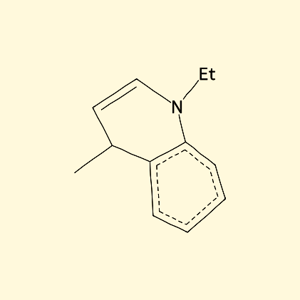 CCN1C=CC(C)c2ccccc21